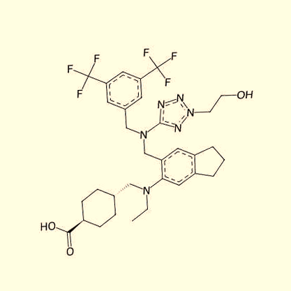 CCN(C[C@H]1CC[C@H](C(=O)O)CC1)c1cc2c(cc1CN(Cc1cc(C(F)(F)F)cc(C(F)(F)F)c1)c1nnn(CCO)n1)CCC2